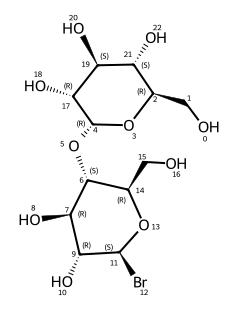 OC[C@H]1O[C@H](O[C@H]2[C@H](O)[C@@H](O)[C@H](Br)O[C@@H]2CO)[C@H](O)[C@@H](O)[C@@H]1O